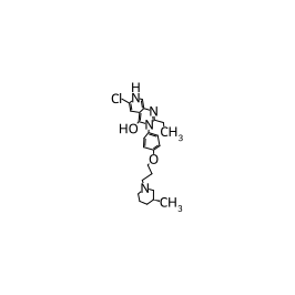 CCC1=NC2=CNC(Cl)=CC2=C(O)N1c1ccc(OCCCN2CCC[C@H](C)C2)cc1